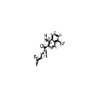 Nc1c(C(=O)NCC=C(F)F)ncc2c(Br)cccc12